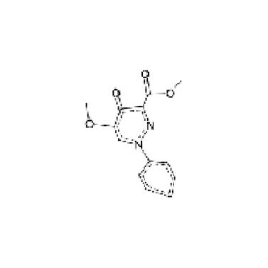 COC(=O)c1nn(-c2ccccc2)cc(OC)c1=O